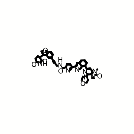 Cn1c(=O)n(C)c2c(N3CCOCC3)nc(-c3cccc4cc(-c5ccc(C(=O)NCC#Cc6ccc7occ(C8CCC(=O)NC8=O)c7c6)nc5)ncc34)cc21